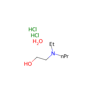 CCCN(CC)CCO.Cl.Cl.O